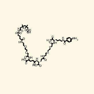 CC(C)(CC(=O)NS(=O)(=O)CCCC(=O)NCCOCCOCC(=O)NC(CCC(=O)N[C@H](CCC(=O)NCCOCCOCC(=O)N[C@@H](CCCCNC(=O)c1ccc(N)cc1)C(N)=O)C(=O)O)C(=O)O)CC(C)(C)CS(=O)(=O)O